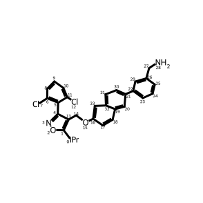 CC(C)c1onc(-c2c(Cl)cccc2Cl)c1COc1ccc2cc(-c3cccc(CN)c3)ccc2c1